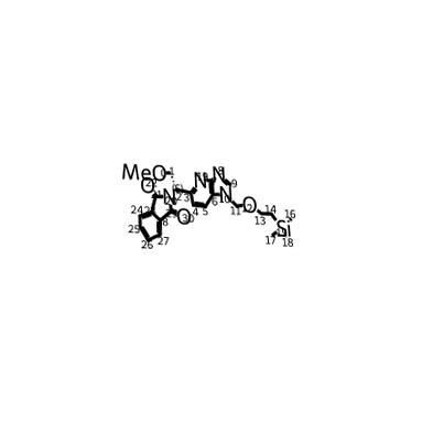 COC[C@H](c1ccc2c(ncn2COCC[Si](C)(C)C)n1)N1C(=O)c2ccccc2C1=O